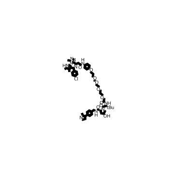 CC1=C(c2ccc(CNC(=O)[C@@H]3C[C@@H](O)CN3C(=O)C(NC(=O)COCCCOCCOCOCCCOc3ccc(NC(=O)CC4N=C(c5ccc(Cl)cc5)c5c([nH]c(C)c5C)-n5c(C)nnc54)cc3)C(C)(C)C)cc2)CC=N1